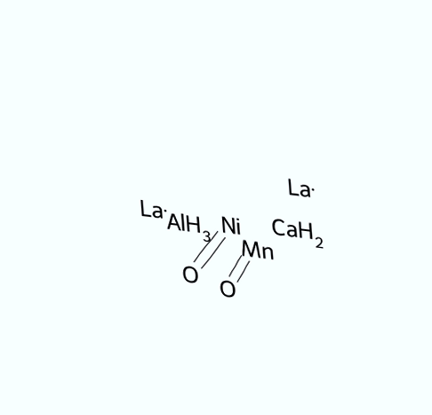 [AlH3].[CaH2].[La].[La].[O]=[Mn].[O]=[Ni]